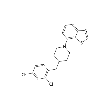 Clc1ccc(CC2CCN(c3cccc4ncsc34)CC2)c(Cl)c1